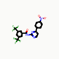 O=C(Nc1nccc(-c2ccc([N+](=O)[O-])cc2)n1)c1cc(C(F)(F)F)cc(C(F)(F)F)c1